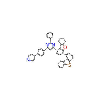 c1ccc(-c2nc(-c3ccc(-c4ccncc4)cc3)cc(-c3ccc(-c4cccc5sc6ccccc6c45)c4oc5ccccc5c34)n2)cc1